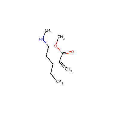 C=CC(=O)OC.CCCCCNC